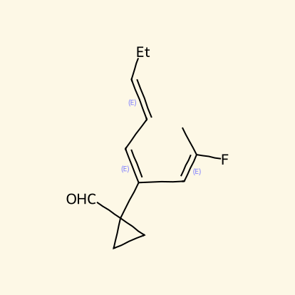 CC/C=C/C=C(\C=C(/C)F)C1(C=O)CC1